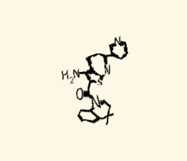 CC1(C)CCN(C(=O)c2sc3nc(-c4cccnc4)ccc3c2N)C2=CC=CCC21